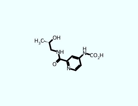 C[C@H](O)CNC(=O)c1cc(NC(=O)O)ccn1